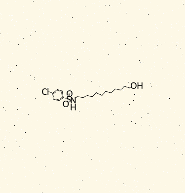 O=S(=O)(NCCCCCCCCCCCCO)c1ccc(Cl)cc1